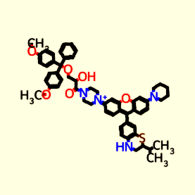 COc1ccc(C(OCC(O)C(=O)N2CC[N+](=c3ccc4c(-c5ccc6c(c5)SC(C(C)C)CN6)c5ccc(N6CCCCC6)cc5oc-4c3)CC2)(c2ccccc2)c2ccc(OC)cc2)cc1